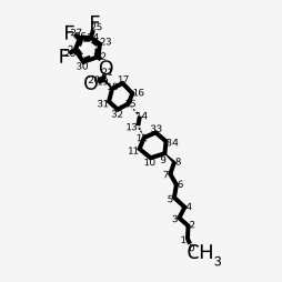 CCCCCCCCC[C@H]1CC[C@H](CC[C@H]2CC[C@H](C(=O)Oc3cc(F)c(F)c(F)c3)CC2)CC1